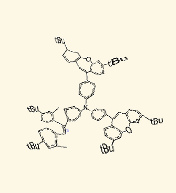 Cc1cc(C(C)(C)C)ccc1/C=C(/c1ccc(N(c2ccc(C3=CC4=C(CC(C(C)(C)C)C=C4)Oc4cc(C(C)(C)C)ccc43)cc2)c2ccc(C3=Cc4ccc(C(C)(C)C)cc4Oc4cc(C(C)(C)C)ccc43)cc2)cc1)c1ccc(C(C)(C)C)cc1C